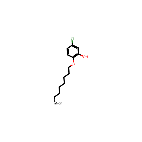 CCCCCCCCCCCCCCCCOc1ccc(Cl)cc1O